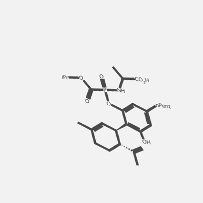 C=C(C)[C@@H]1CCC(C)=C[C@H]1c1c(O)cc(CCCCC)cc1OP(=O)(NC(C)C(=O)O)C(=O)OC(C)C